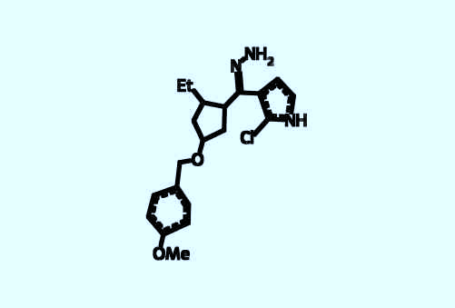 CCC1CC(OCc2ccc(OC)cc2)CC1C(=NN)c1cc[nH]c1Cl